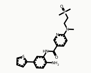 CN(CCP(C)(C)=O)c1ccc(C(=O)Nc2cc(-c3cccs3)ccc2N)cn1